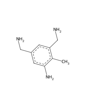 Cc1c(N)cc(CN)cc1CN